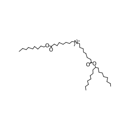 CCCCCCCCCOC(=O)CCCCCCC[N+](C)(C)CCCCCCCC(=O)OC(CCCCCCCC)CCCCCCCC